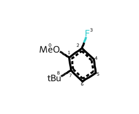 COc1c(F)cccc1C(C)(C)C